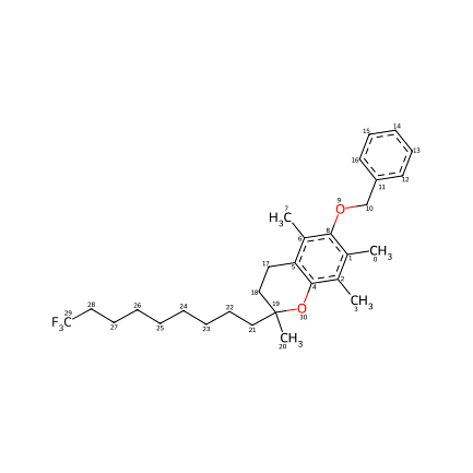 Cc1c(C)c2c(c(C)c1OCc1ccccc1)CCC(C)(CCCCCCCCC(F)(F)F)O2